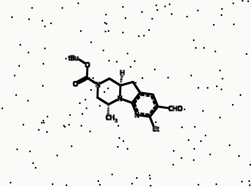 CCc1nc2c(cc1C=O)C[C@@H]1CN(C(=O)OC(C)(C)C)C[C@@H](C)N21